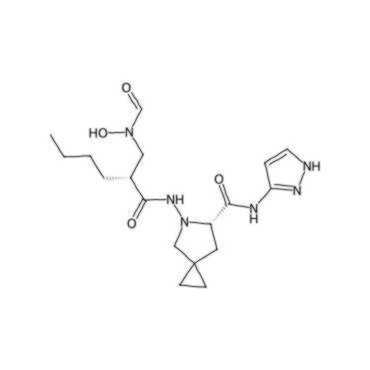 CCCC[C@H](CN(O)C=O)C(=O)NN1CC2(CC2)C[C@H]1C(=O)Nc1cc[nH]n1